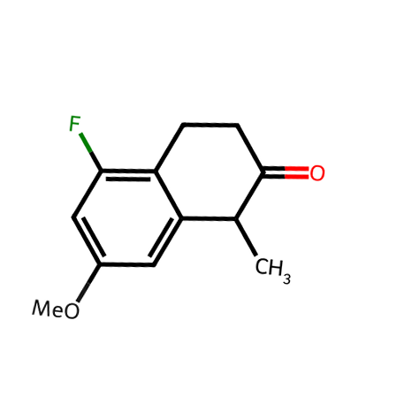 COc1cc(F)c2c(c1)C(C)C(=O)CC2